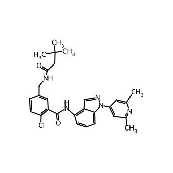 Cc1cc(-n2ncc3c(NC(=O)c4cc(CNC(=O)CC(C)(C)C)ccc4Cl)cccc32)cc(C)n1